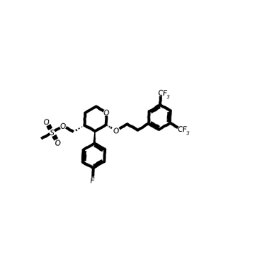 CS(=O)(=O)OC[C@@H]1CCO[C@H](OCCc2cc(C(F)(F)F)cc(C(F)(F)F)c2)[C@H]1c1ccc(F)cc1